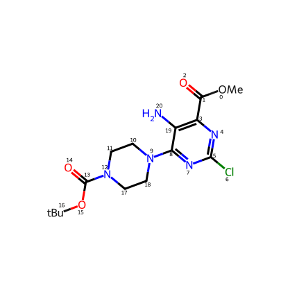 COC(=O)c1nc(Cl)nc(N2CCN(C(=O)OC(C)(C)C)CC2)c1N